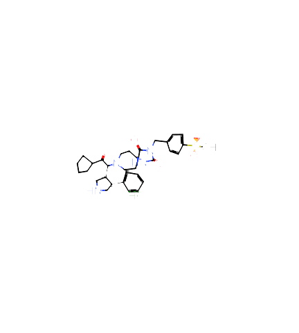 CS(=O)(=O)c1ccc(CN2C(=O)NC3(CCN(C(C(=O)C4CCCC4)[C@@H]4CNC[C@@H]4c4ccccc4)CC3)C2=O)cc1.Cl